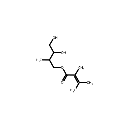 CC(C)=C(C)C(=O)OCC(C)C(O)CO